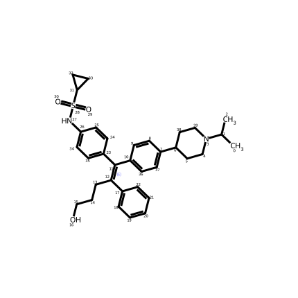 CC(C)N1CCC(c2ccc(/C(=C(/CCCO)c3ccccc3)c3ccc(NS(=O)(=O)C4CC4)cc3)cc2)CC1